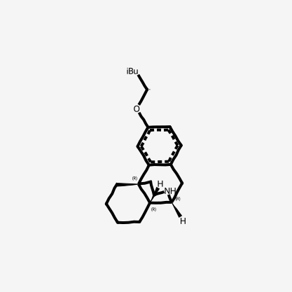 CCC(C)[CH]Oc1ccc2c(c1)[C@@]13CCCC[C@H]1[C@@H](C2)NCC3